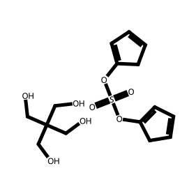 O=S(=O)(OC1=CC=CC1)OC1=CC=CC1.OCC(CO)(CO)CO